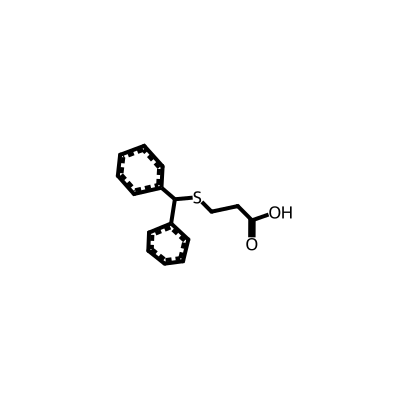 O=C(O)CCSC(c1ccccc1)c1ccccc1